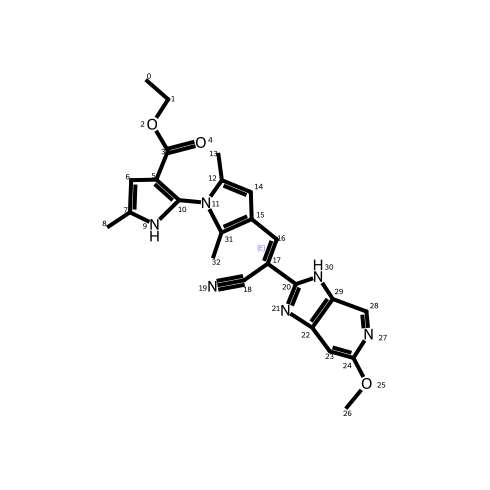 CCOC(=O)c1cc(C)[nH]c1-n1c(C)cc(/C=C(\C#N)c2nc3cc(OC)ncc3[nH]2)c1C